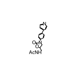 CC(=O)NCC1CN(c2ccc(-c3ccncc3)cc2)C(=O)O1